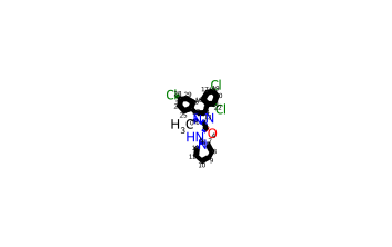 Cn1c(C(=O)NN2C=CC=CC=C2)nc(-c2ccc(Cl)cc2Cl)c1-c1ccc(Cl)cc1